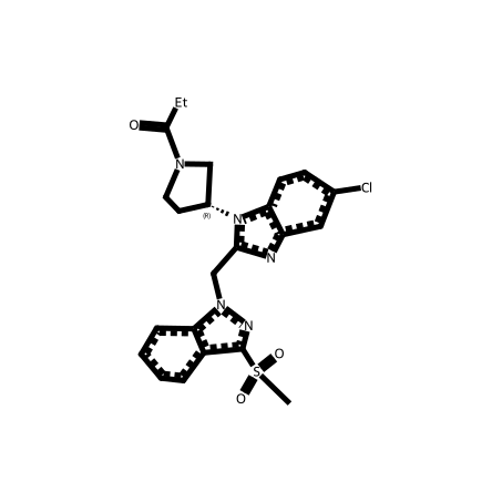 CCC(=O)N1CC[C@@H](n2c(Cn3nc(S(C)(=O)=O)c4ccccc43)nc3cc(Cl)ccc32)C1